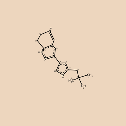 CC(C)(O)Cn1cc(-c2cnc3c(c2)C=NCC3)cn1